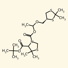 CC(OC[C@H]1CSC(C)(C)S1)OC(=O)N1CSC(C)(C)C1C(=O)OC(C)(C)C